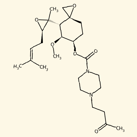 CO[C@H]1[C@H](C2(C)O[C@@H]2CC=C(C)C)[C@]2(CC[C@H]1OC(=O)N1CCN(CCC(C)=O)CC1)CO2